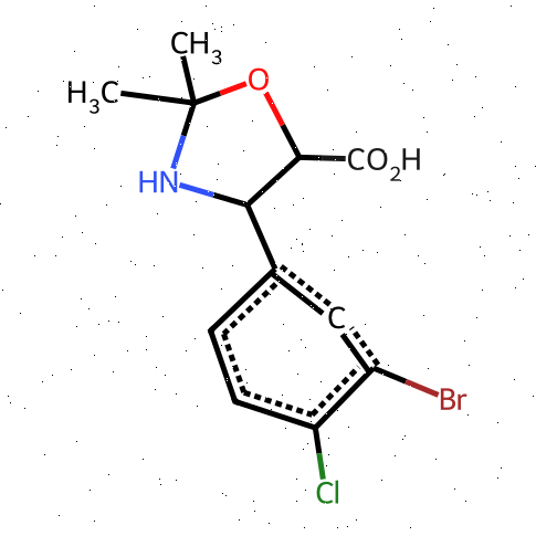 CC1(C)NC(c2ccc(Cl)c(Br)c2)C(C(=O)O)O1